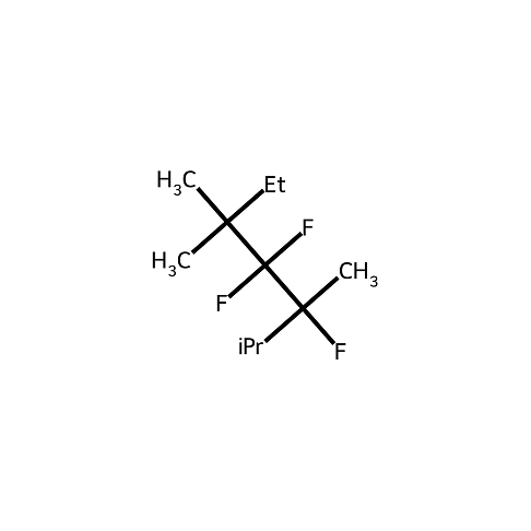 CCC(C)(C)C(F)(F)C(C)(F)C(C)C